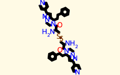 N[C@@H](CSSC[C@H](N)C(=O)N1CCn2nc(-c3ccncc3)cc2C1CCc1ccccc1)C(=O)N1CCn2nc(-c3ccncc3)cc2C1CCc1ccccc1